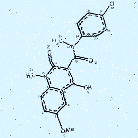 COc1ccc2c(c1)c(O)c(C(=O)N(C)c1ccc(Cl)cc1)c(=O)n2C